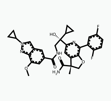 COc1cc(C(=O)NC[C@](O)(c2cc3c(c(-c4cc(F)ccc4F)n2)OC[C@]3(C)C(N)=O)C2CC2)cc2cn(C3CC3)nc12